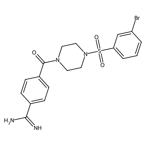 N=C(N)c1ccc(C(=O)N2CCN(S(=O)(=O)c3cccc(Br)c3)CC2)cc1